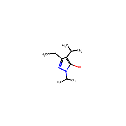 CCc1nn(C(C)C)c(O)c1C(C)C